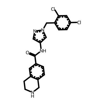 O=C(Nc1cnn(Cc2ccc(Cl)cc2Cl)c1)c1ccc2c(c1)CCNC2